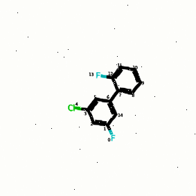 Fc1cc(Cl)cc(-c2ccccc2F)c1